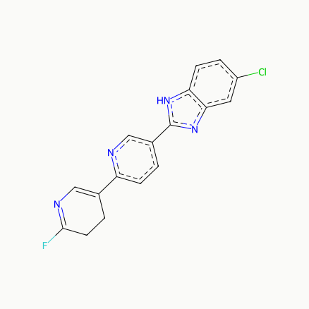 FC1=NC=C(c2ccc(-c3nc4cc(Cl)ccc4[nH]3)cn2)CC1